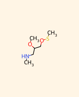 CNCC(COSC)OC